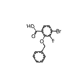 O=C(O)c1ccc(Br)c(F)c1OCc1ccccc1